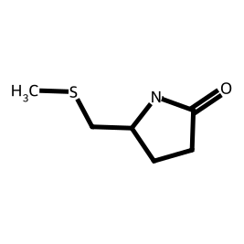 CSCC1CCC(=O)[N]1